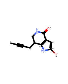 CC#CCC1CNC(=O)c2cc(Br)[nH]c21